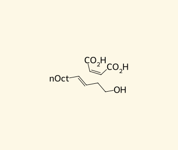 CCCCCCCCC=CCCO.O=C(O)/C=C\C(=O)O